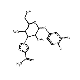 CC(=O)OCC1OC(Sc2ccc(Cl)c(Cl)c2)C(OC(C)=O)C(n2cc(C(N)=O)nn2)C1OC(C)=O